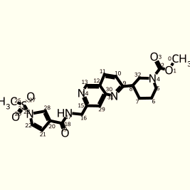 COC(=O)N1CCCC(c2ccc3cnc(CNC(=O)c4ccn(S(C)(=O)=O)c4)cc3n2)C1